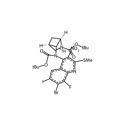 CSc1nc2c(F)c(Br)c(I)cc2c(N(C(=O)OC(C)(C)C)[C@H]2[C@@H]3C[C@H]2N(C(=O)OC(C)(C)C)C3)c1[N+](=O)[O-]